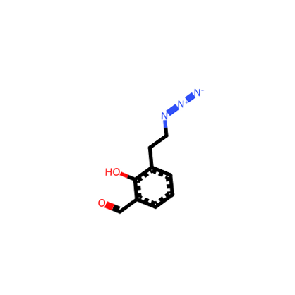 [N-]=[N+]=NCCc1cccc(C=O)c1O